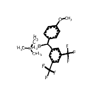 BC(c1ccc(OC)cc1)c1cc(C(F)(F)F)cc(C(F)(F)F)c1.CN(C)C